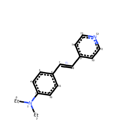 CCN(CC)c1ccc(/C=C/c2ccncc2)cc1